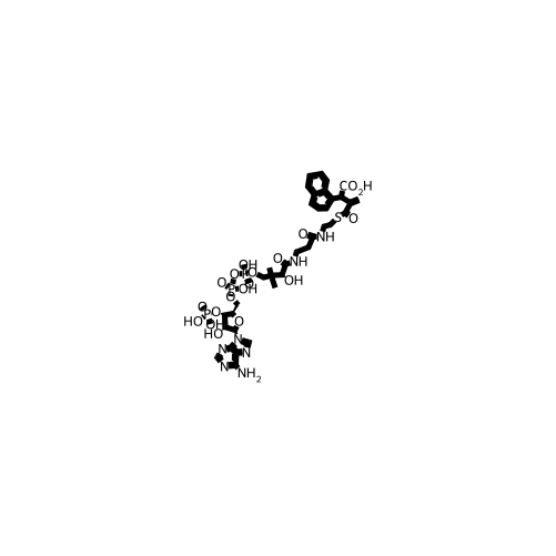 C=C(C(=O)SCCNC(=O)CCNC(=O)[C@H](O)C(C)(C)COP(=O)(O)OP(=O)(O)OC[C@H]1O[C@@H](n2cnc3c(N)ncnc32)[C@H](O)[C@@H]1OP(=O)(O)O)C(C(=O)O)c1cccc2ccccc12